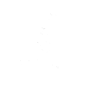 CC[C@H](NC(=O)C(CC(=O)N1CCOCC1)CS(=O)(=O)Cc1ccccc1)C(=O)c1nnc(-c2cccnc2)o1